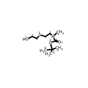 CN(CCSCCO)C(=O)OC(C)(C)C